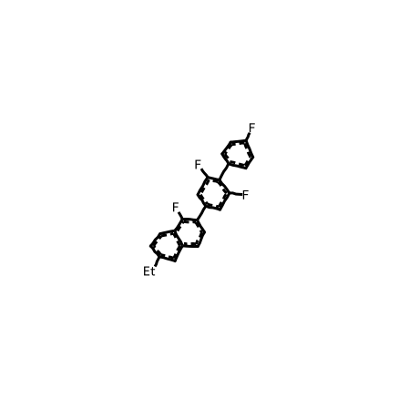 CCc1ccc2c(F)c(-c3cc(F)c(-c4ccc(F)cc4)c(F)c3)ccc2c1